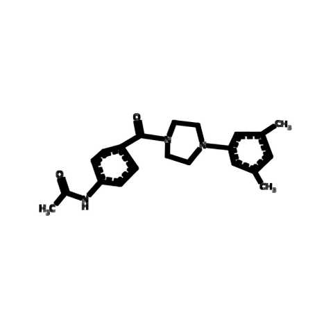 CC(=O)Nc1ccc(C(=O)N2CCN(c3cc(C)cc(C)c3)CC2)cc1